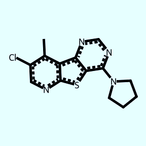 Cc1c(Cl)cnc2sc3c(N4CCCC4)ncnc3c12